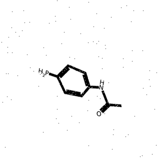 CC(=O)Nc1ccc(P)cc1